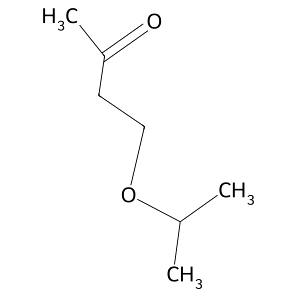 CC(=O)CCOC(C)C